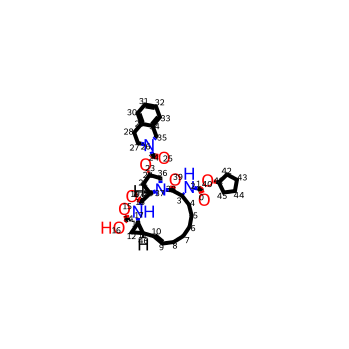 O=C(N[C@H]1CCCCC/C=C/[C@@H]2C[C@@]2(C(=O)O)NC(=O)[C@@H]2C[C@@H](OC(=O)N3CCc4ccccc4C3)CN2C1=O)OC1CCCC1